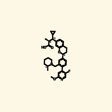 COc1cc(-c2ccc([C@@H]3CCc4ccc([C@H](C5CC5)[C@H](C)C(=O)O)cc4O3)cc2CN2CCCC[C@@H]2C)c(F)cn1